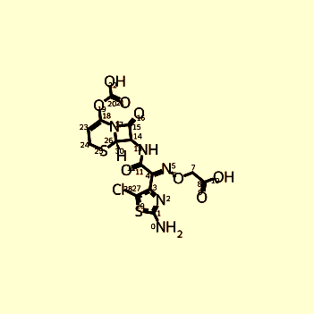 Nc1nc(C(=NOCC(=O)O)C(=O)NC2C(=O)N3C(OC(=O)O)=CCS[C@@H]23)c(Cl)s1